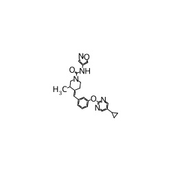 CC1CN(C(=O)Nc2cnoc2)CC/C1=C\c1cccc(Oc2ncc(C3CC3)cn2)c1